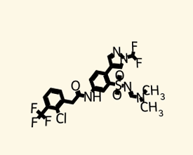 CN(C)C=NS(=O)(=O)c1cc(NC(=O)Cc2cccc(C(F)(F)F)c2Cl)ccc1-c1cnn(C(F)F)c1